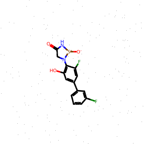 O=C1CN(c2c(O)cc(-c3cccc(F)c3)cc2F)[S+]([O-])N1